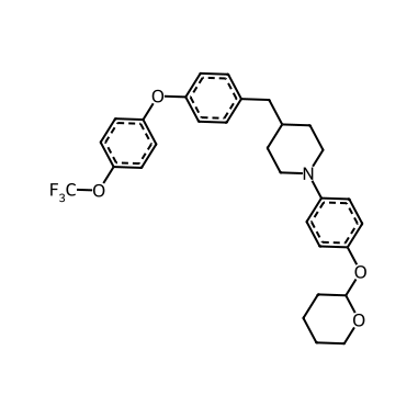 FC(F)(F)Oc1ccc(Oc2ccc(CC3CCN(c4ccc(OC5CCCCO5)cc4)CC3)cc2)cc1